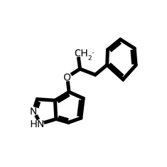 [CH2]C(Cc1ccccc1)Oc1cccc2[nH]ncc12